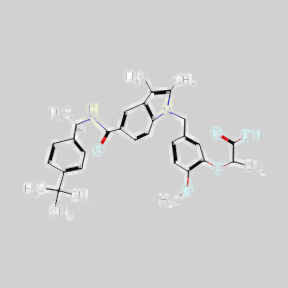 COc1ccc(Cn2c(C)c(C)c3cc(C(=O)N[C@@H](C)c4ccc(C(C)(C)C)cc4)ccc32)cc1OC(C)C(=O)O